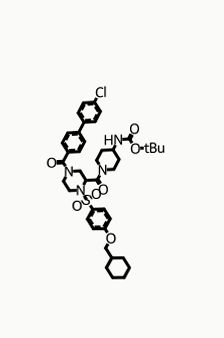 CC(C)(C)OC(=O)NC1CCN(C(=O)C2CN(C(=O)c3ccc(-c4ccc(Cl)cc4)cc3)CCN2S(=O)(=O)c2ccc(OCC3CCCCC3)cc2)CC1